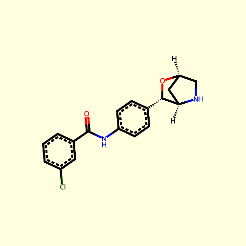 O=C(Nc1ccc([C@@H]2O[C@H]3CN[C@@H]2C3)cc1)c1cccc(Cl)c1